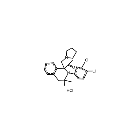 CC(=O)C1(CN2CCCC2)c2ccccc2CC(C)(C)N1c1ccc(Cl)c(Cl)c1.Cl